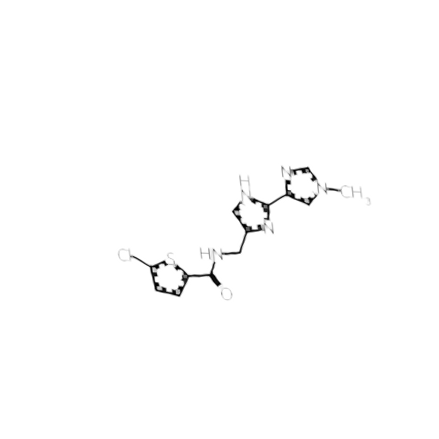 Cn1cnc(-c2nc(CNC(=O)c3ccc(Cl)s3)c[nH]2)c1